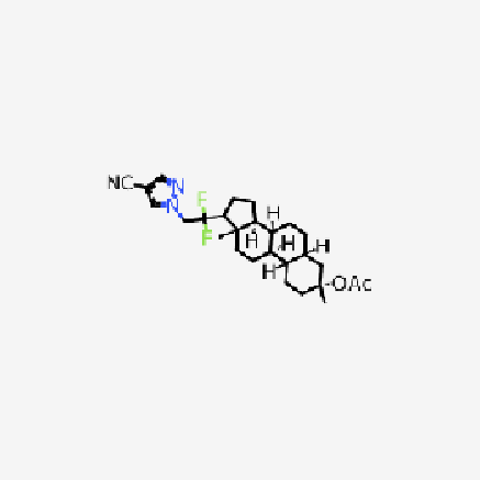 CC(=O)O[C@]1(C)CC[C@H]2[C@H](CC[C@@H]3[C@@H]2CC[C@]2(C)[C@@H](C(F)(F)Cn4cc(C#N)cn4)CC[C@@H]32)C1